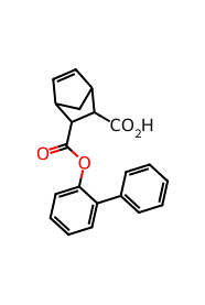 O=C(O)C1C2C=CC(C2)C1C(=O)Oc1ccccc1-c1ccccc1